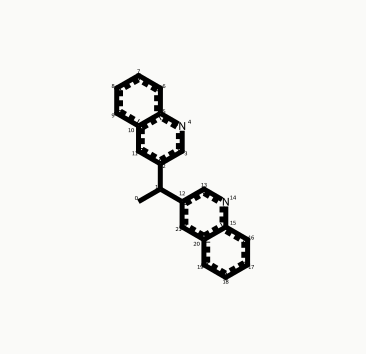 C[C](c1cnc2ccccc2c1)c1cnc2ccccc2c1